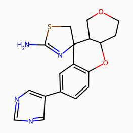 NC1=NC2(CS1)c1cc(-c3cncnc3)ccc1OC1CCOCC12